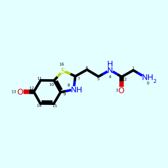 NCC(=O)NCCC1NC2=C(CC(=O)C=C2)S1